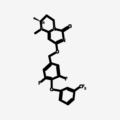 C[C@@H]1CCn2c(cc(OCc3cc(F)c(Oc4cccc(C(F)(F)F)c4)c(F)c3)nc2=O)N1C